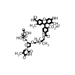 CCNc1cc2oc3cc(=N)c(C)cc-3c(-c3ccc(C(=O)NCC(C)(C)SSCO[C@@H]4C[C@H](n5cc(C)c(=O)[nH]c5=O)O[C@@H]4COP(=O)(O)O[PH](=O)O)cc3C(=O)O)c2cc1C